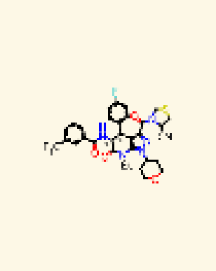 CCN1C(=O)[C@@H](NC(=O)c2cccc(C(F)(F)F)c2)[C@@H](c2ccc(F)cc2)c2c(C(=O)N3CSCC3C#N)nn(C3CCOCC3)c21